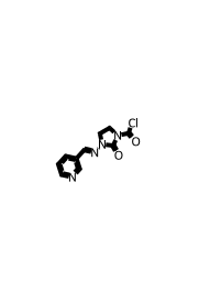 O=C(Cl)N1CCN(/N=C/c2cccnc2)C1=O